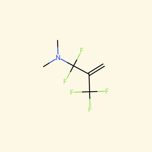 C=C(C(F)(F)F)C(F)(F)N(C)C